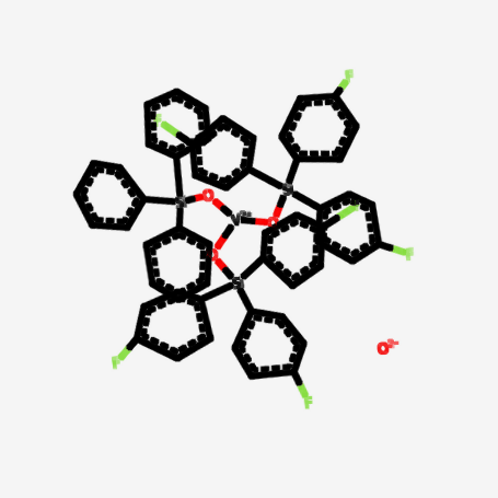 Fc1ccc([Si]([O][V+2]([O][Si](c2ccccc2)(c2ccccc2)c2ccccc2)[O][Si](c2ccc(F)cc2)(c2ccc(F)cc2)c2ccc(F)cc2)(c2ccc(F)cc2)c2ccc(F)cc2)cc1.[O-2]